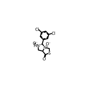 O=C1SC[N+]2([O-])C1C[NH+]([O-])C2c1cc(Cl)cc(Cl)c1